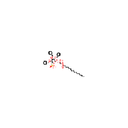 CCCCCCCCCCCCCCCC(=O)OCC(O)CO[C@H]1O[C@H](CS(=O)(=O)O)[C@@H](OCc2ccccc2)[C@H](OCc2ccccc2)[C@H]1OCc1ccccc1